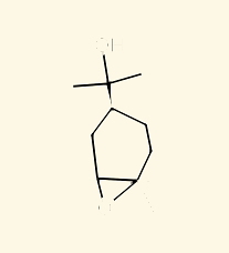 CC(C)(O)[C@H]1CC[C@@]2(C)OC2C1